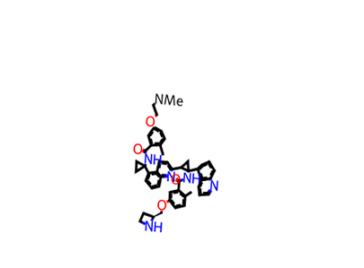 CNCCOc1ccc(C)c(C(=O)NC2(c3cccc4nc(C5CC5(NC(=O)c5cc(OC[C@@H]6CCN6)ccc5C)c5cccc6ncccc56)ccc34)CC2)c1